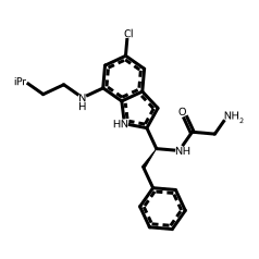 CC(C)CCNc1cc(Cl)cc2cc([C@H](Cc3ccccc3)NC(=O)CN)[nH]c12